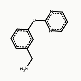 NCc1cccc(Oc2ncccn2)c1